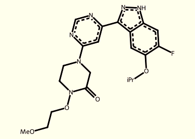 COCCON1CCN(c2cc(-c3n[nH]c4cc(F)c(OC(C)C)cc34)ncn2)CC1=O